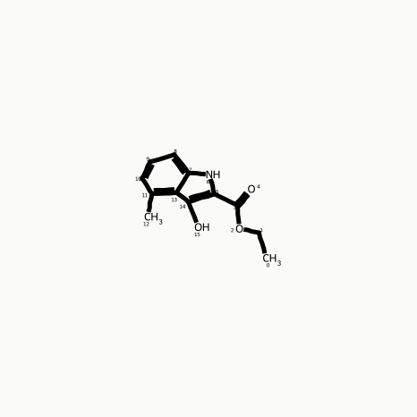 CCOC(=O)c1[nH]c2cccc(C)c2c1O